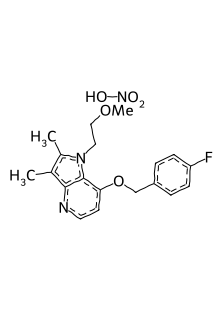 COCCn1c(C)c(C)c2nccc(OCc3ccc(F)cc3)c21.O=[N+]([O-])O